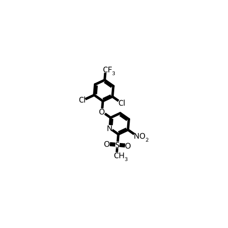 CS(=O)(=O)c1nc(Oc2c(Cl)cc(C(F)(F)F)cc2Cl)ccc1[N+](=O)[O-]